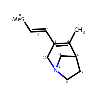 CS/C=C/C1=C(C)C2CCN(C1)C2